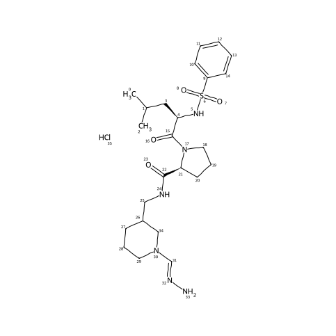 CC(C)C[C@@H](NS(=O)(=O)c1ccccc1)C(=O)N1CCC[C@H]1C(=O)NCC1CCCN(C=NN)C1.Cl